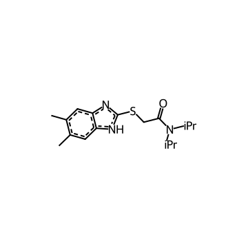 Cc1cc2nc(SCC(=O)N(C(C)C)C(C)C)[nH]c2cc1C